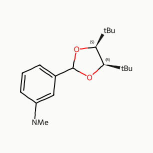 CNc1cccc(C2O[C@@H](C(C)(C)C)[C@@H](C(C)(C)C)O2)c1